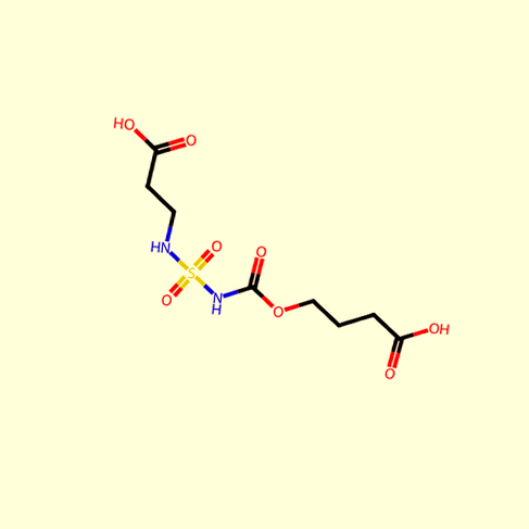 O=C(O)CCCOC(=O)NS(=O)(=O)NCCC(=O)O